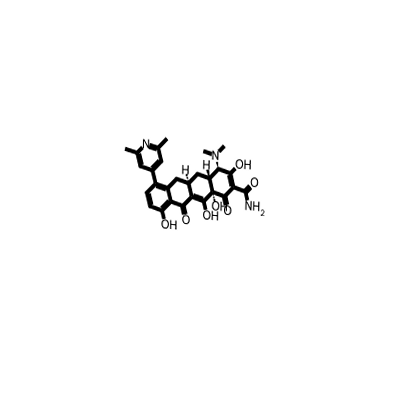 Cc1cc(-c2ccc(O)c3c2C[C@H]2C[C@@H]4[C@H](N(C)C)C(O)=C(C(N)=O)C(=O)[C@@]4(O)C(O)=C2C3=O)cc(C)n1